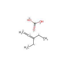 C=C=C(CC)CC.O=C(O)O